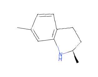 Cc1ccc2c(c1)N[C@H](C)CC2